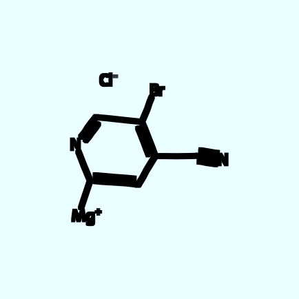 N#Cc1c[c]([Mg+])ncc1Br.[Cl-]